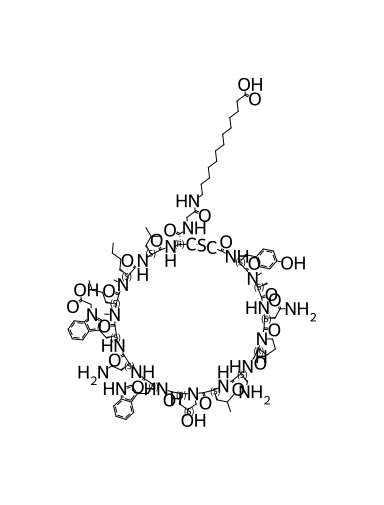 CCCC[C@H]1C(=O)N(C)[C@@H](CCCC)C(=O)N[C@@H](CC(C)C)C(=O)N[C@H](C(=O)NCC(=O)NCCCCCCCCCCCCC(=O)O)CSCC(=O)N[C@@H](Cc2ccc(O)cc2)C(=O)N(C)[C@@H](C)C(=O)N[C@@H](CC(N)=O)C(=O)N2CCC[C@@H]2C(=O)N[C@@H](CN)C(=O)N[C@@H](CC(C)C)C(=O)N2C[C@@H](O)C[C@H]2C(=O)N[C@@H](Cc2c[nH]c3ccccc23)C(=O)N[C@@H](CCN)C(=O)N[C@@H](Cc2cn(CC(=O)O)c3ccccc23)C(=O)N1C